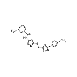 Cc1ccc(-c2noc(CSc3nnc(NC(=O)c4cccc(C(F)(F)F)c4)s3)n2)cc1